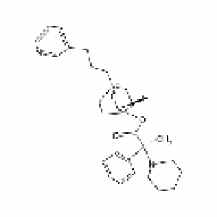 C[C@@](C(=O)O[C@H]1C[N+]2(CCCc3cccnc3)CCC1CC2)(c1ccccc1)N1CCCCC1